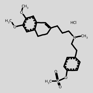 COc1cc2c(cc1OC)CCC(CCCN(C)CCc1ccc(OS(C)(=O)=O)cc1)=C2.Cl